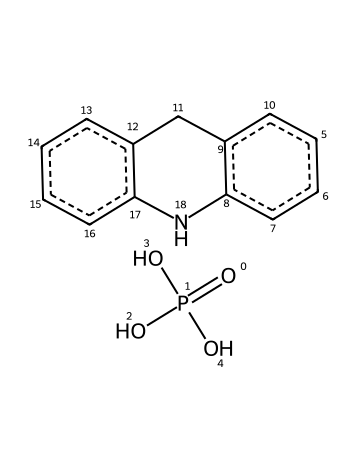 O=P(O)(O)O.c1ccc2c(c1)Cc1ccccc1N2